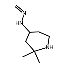 C=NNC1CCNC(C)(C)C1